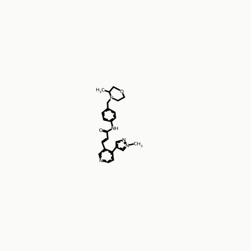 CC1COCCN1Cc1ccc(NC(=O)C=Cc2cnccc2-c2cnn(C)c2)cc1